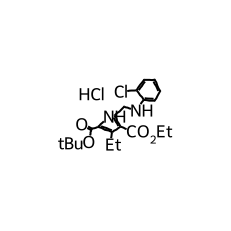 CCOC(=O)c1c(CNc2ccccc2Cl)[nH]c(C(=O)OC(C)(C)C)c1CC.Cl